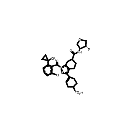 O=C(O)C1CC=C(c2nn(C(=O)c3c(Cl)cccc3C3(C(F)(F)F)CC3)c3c2CCC(C(=O)N[C@H]2COC[C@@H]2F)C3)CC1